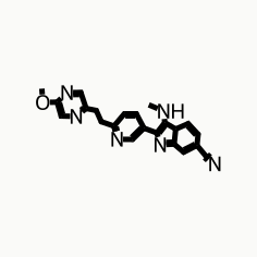 CNC1=C(c2ccc(CCc3cnc(OC)cn3)nc2)N=C2C=C(C#N)C=CC21